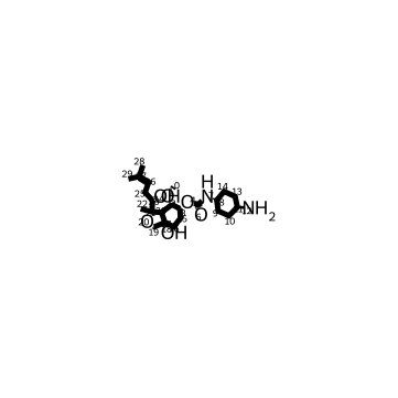 COC1C(OC(=O)N[C@H]2CC[C@H](N)CC2)CCC2(O)COC(C)(C(O)CC=C(C)C)C12